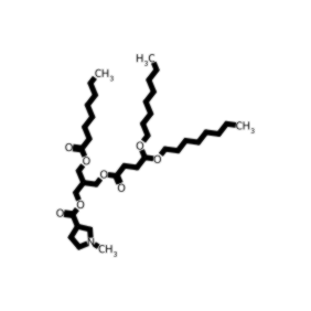 CCCCCCCCOC(CCC(=O)OCC(COC(=O)CCCCCCC)COC(=O)C1CCN(C)C1)OCCCCCCCC